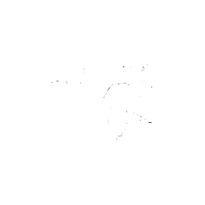 CC(F)(CC(CCS(=O)(=O)Cl)CC(F)(C(F)(F)F)C(F)(F)F)C(F)(F)F